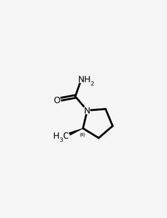 C[C@@H]1CCCN1C(N)=O